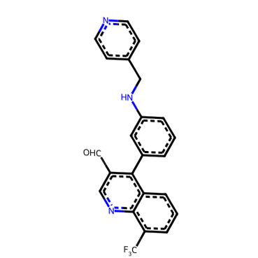 O=Cc1cnc2c(C(F)(F)F)cccc2c1-c1cccc(NCc2ccncc2)c1